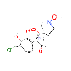 COc1cc(/C(C(C)=O)=C(\O)C2(C)CCN(OC)CC2)ccc1Cl